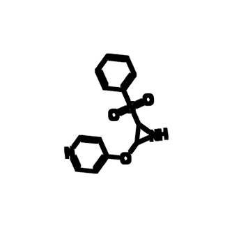 O=S(=O)(c1ccccc1)C1NC1Oc1ccncc1